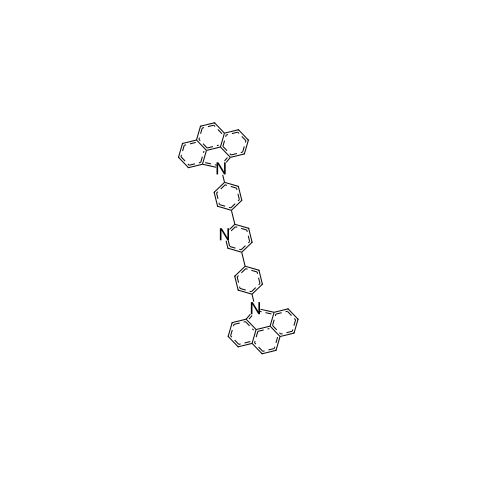 c1cc2ccc3cccc4c3c2c(c1)n4-c1ccc(-c2ccc(-c3ccc(-n4c5cccc6ccc7cccc4c7c65)cc3)nc2)cc1